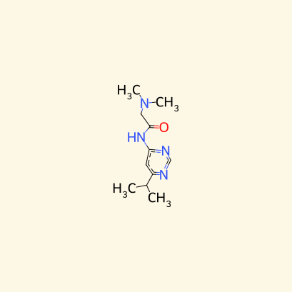 CC(C)c1cc(NC(=O)CN(C)C)ncn1